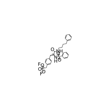 O=C(NCCCCc1ccccc1)[C@H](Cc1ccc(CP(=O)(OF)OF)cc1)NS(=O)(=O)c1ccccc1